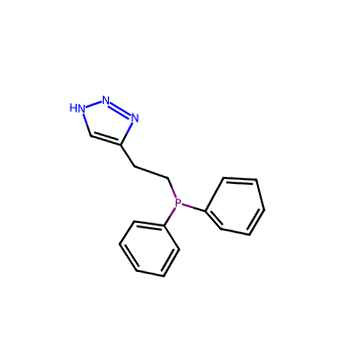 c1ccc(P(CCc2c[nH]nn2)c2ccccc2)cc1